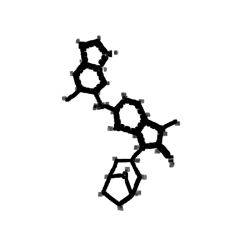 Cc1cc2ncnn2cc1Nc1ncc2c(n1)n(C1CC3CCC(C1)O3)c(=O)n2C